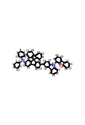 c1ccc(N(c2ccccc2)c2ccc3c(c2)C(c2ccccc2)(c2ccccc2)c2cc(-c4ccc5c(c4)c4ccccc4n5-c4cccc5c4oc4ccccc45)ccc2-3)cc1